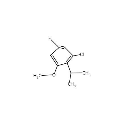 COc1cc(F)cc(Cl)c1C(C)C